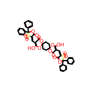 O=C1OC2(CCC3(CC2)OC(=O)C(/C=C2\C(=O)OC(c4ccccc4)(c4ccccc4)S2(=O)=O)=C(O)O3)OC(O)=C1/C=C1\C(=O)OC(c2ccccc2)(c2ccccc2)S1(=O)=O